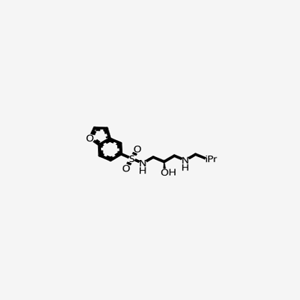 CC(C)CNC[C@@H](O)CNS(=O)(=O)c1ccc2occc2c1